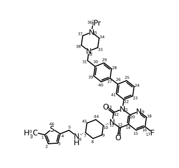 Cc1ccc(CN[C@H]2CC[C@@H](n3c(=O)c4cc(F)cnc4n(-c4cccc(-c5ccc(CN6CCN(C(C)C)CC6)cc5)c4)c3=O)CC2)s1